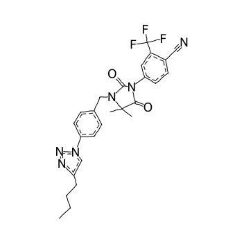 CCCCc1cn(-c2ccc(CN3C(=O)N(c4ccc(C#N)c(C(F)(F)F)c4)C(=O)C3(C)C)cc2)nn1